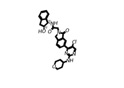 O=C(CN1Cc2ccc(-c3nc(NC4CCOCC4)ncc3Cl)cc2C1=O)N[C@H]1c2ccccc2C[C@@H]1O